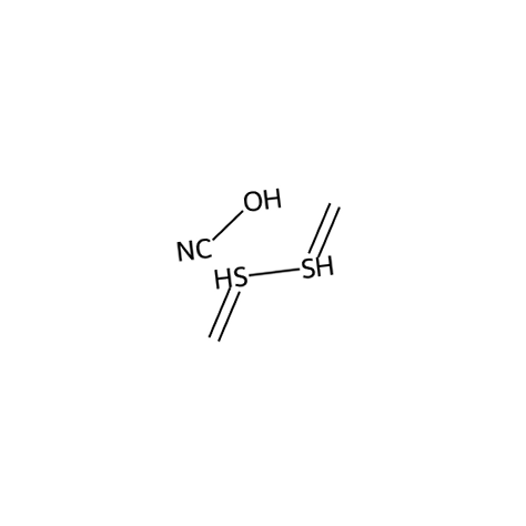 C=[SH][SH]=C.N#CO